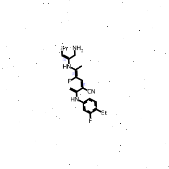 C=C(Nc1ccc(CC)c(F)c1)/C(C#N)=C\C(F)=C(/C)N/C(=C/C(C)C)CN